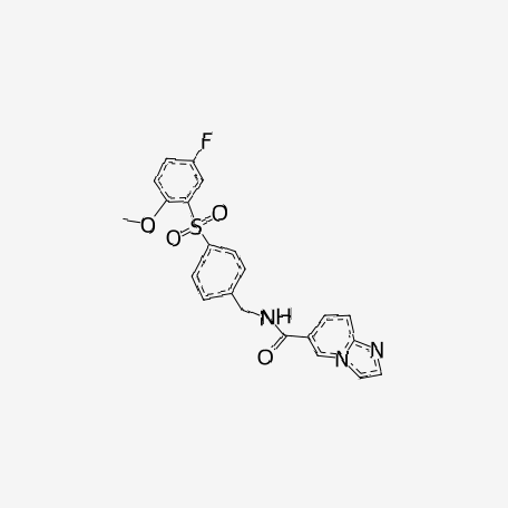 COc1ccc(F)cc1S(=O)(=O)c1ccc(CNC(=O)c2ccc3nccn3c2)cc1